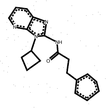 O=C(CCc1ccccc1)Nc1nc2cccnc2n1C1CCC1